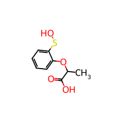 CC(Oc1ccccc1SO)C(=O)O